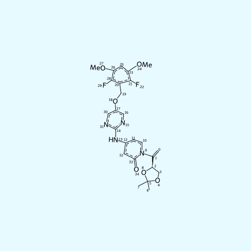 C=C([C@H]1COC(C)(C)O1)n1ccc(Nc2ncc(OCc3c(F)c(OC)cc(OC)c3F)cn2)cc1=O